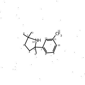 CC1(C)CCC(C)(c2cccc(C(F)(F)F)c2)N1